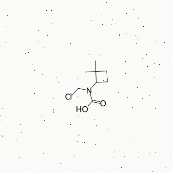 CC1(C)CCC1N(CCl)C(=O)O